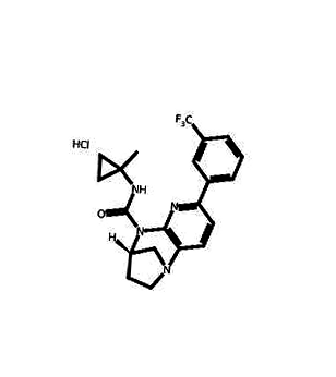 CC1(NC(=O)N2c3nc(-c4cccc(C(F)(F)F)c4)ccc3N3CC[C@H]2C3)CC1.Cl